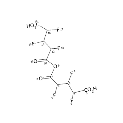 O=C(O)C(F)C(F)C(F)C(=O)OC(=O)C(F)C(F)C(F)C(=O)O